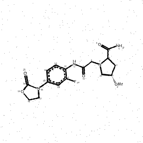 CO[C@H]1[CH]C(C(N)=O)N(CC(=O)Nc2ccc(N3CCOC3=O)cc2F)C1